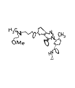 COCCN(C)CCCOc1ccc2ncn(-c3cc(C(=O)NC4CC4)ccc3C)c(=O)c2c1